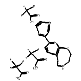 O=C(O)C(F)(F)F.O=C(O)C(F)(F)F.O=C(O)C(F)(F)F.c1cncc(-c2ccc3c(n2)OCCNC3)c1